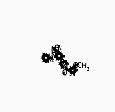 COc1cccc(C(=O)N2CCN(c3ccc([N+](=O)[O-])c(NCc4ccccc4)c3)CC2)c1